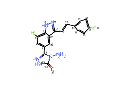 Nn1c(-c2cc(F)c3[nH]nc(C=Cc4ccc(F)cc4)c3c2)n[nH]c1=O